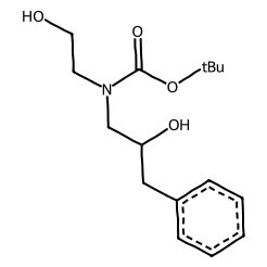 CC(C)(C)OC(=O)N(CCO)CC(O)Cc1ccccc1